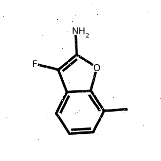 Cc1cccc2c(F)c(N)oc12